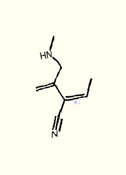 C=C(CNC)/C(C#N)=C\C